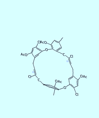 CC(=O)Oc1cc(Cl)c2cc1C/C=C(/Cl)Cc1cc(C)cc(OC(C)=O)c1Oc1cc(c(OC(C)=O)cc1Cl)C/C=C(/Cl)Cc1cc(C)c(c(OC(C)=O)c1)O2